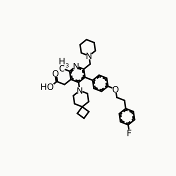 Cc1nc(CN2CCCCC2)c(-c2ccc(OCCc3ccc(F)cc3)cc2)c(N2CCC3(CCC3)CC2)c1CC(=O)O